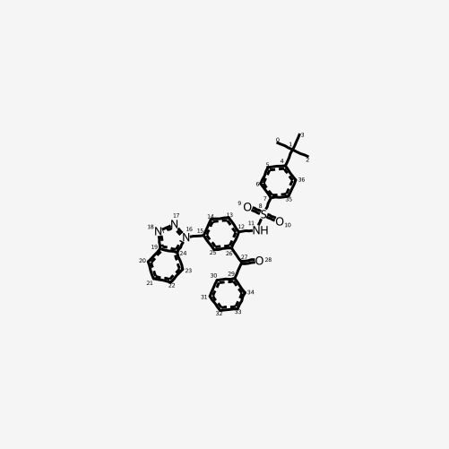 CC(C)(C)c1ccc(S(=O)(=O)Nc2ccc(-n3nnc4ccccc43)cc2C(=O)c2ccccc2)cc1